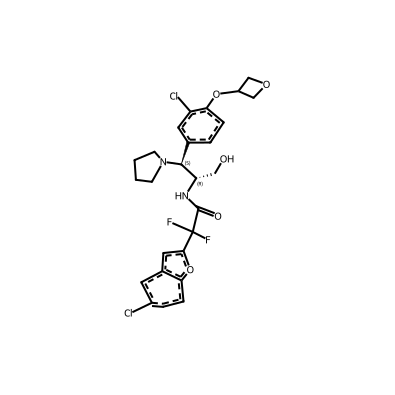 O=C(N[C@@H](CO)[C@H](c1ccc(OC2COC2)c(Cl)c1)N1CCCC1)C(F)(F)c1cc2cc(Cl)ccc2o1